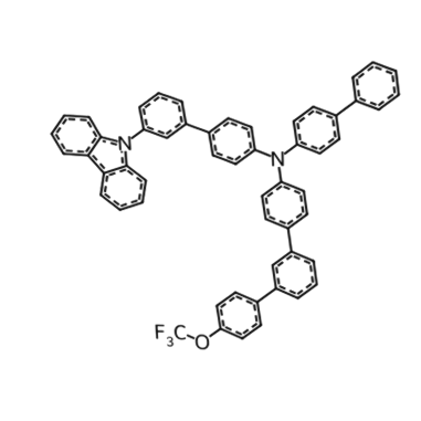 FC(F)(F)Oc1ccc(-c2cccc(-c3ccc(N(c4ccc(-c5ccccc5)cc4)c4ccc(-c5cccc(-n6c7ccccc7c7ccccc76)c5)cc4)cc3)c2)cc1